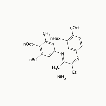 CCCCCCCCc1ccc(N=C(CC)C(C)=Nc2cc(C)c(CCCCCCCC)c(CCCC)c2)cc1CCCCCC.[NiH2]